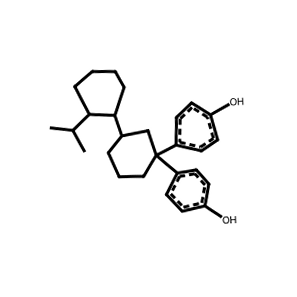 CC(C)C1CCCCC1C1CCCC(c2ccc(O)cc2)(c2ccc(O)cc2)C1